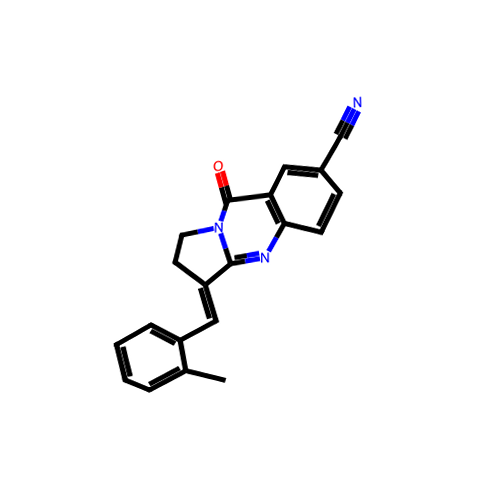 Cc1ccccc1C=C1CCn2c1nc1ccc(C#N)cc1c2=O